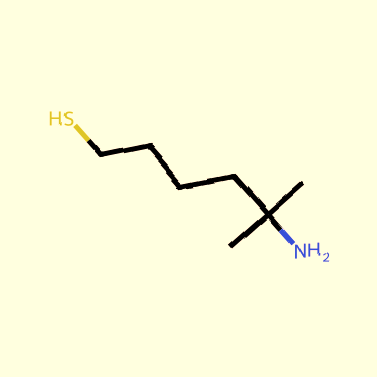 CC(C)(N)CCCCS